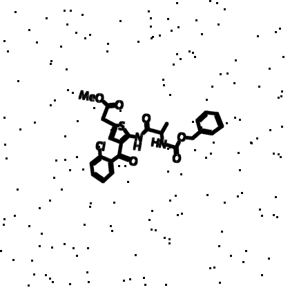 COC(=O)Cc1cc(C(=O)c2ccccc2Cl)c(NC(=O)C(C)NC(=O)OCc2ccccc2)s1